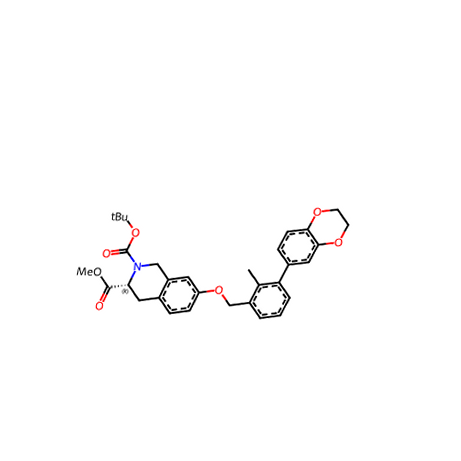 COC(=O)[C@H]1Cc2ccc(OCc3cccc(-c4ccc5c(c4)OCCO5)c3C)cc2CN1C(=O)OC(C)(C)C